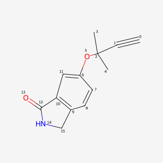 C#CC(C)(C)Oc1ccc2c(c1)C(=O)NC2